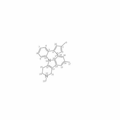 Cc1csc(-c2ccccc2-n2c3c(c4cc(C)ccc42)CN(C)CC3)c1